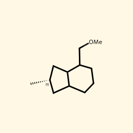 COCC1CCCC2C[C@H](C)CC12